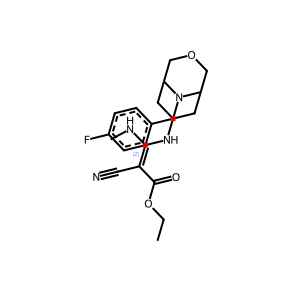 CCOC(=O)/C(C#N)=C(/NC)NC1CC2COCC(C1)N2Cc1ccc(F)cc1